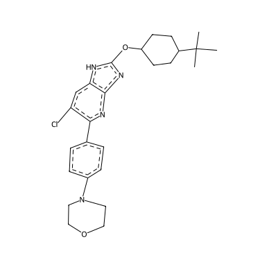 CC(C)(C)C1CCC(Oc2nc3nc(-c4ccc(N5CCOCC5)cc4)c(Cl)cc3[nH]2)CC1